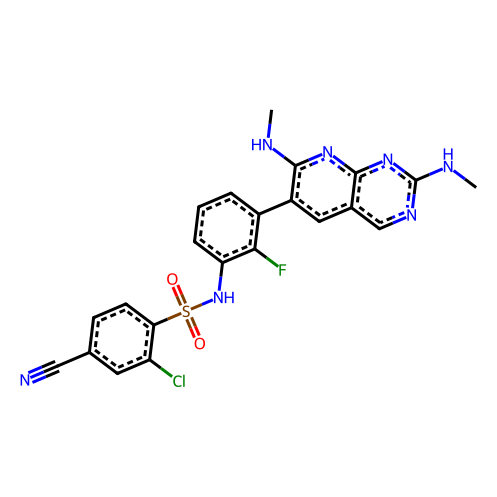 CNc1ncc2cc(-c3cccc(NS(=O)(=O)c4ccc(C#N)cc4Cl)c3F)c(NC)nc2n1